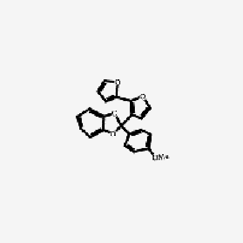 COc1ccc(C2(c3ccoc3-c3ccco3)Oc3ccccc3O2)cc1